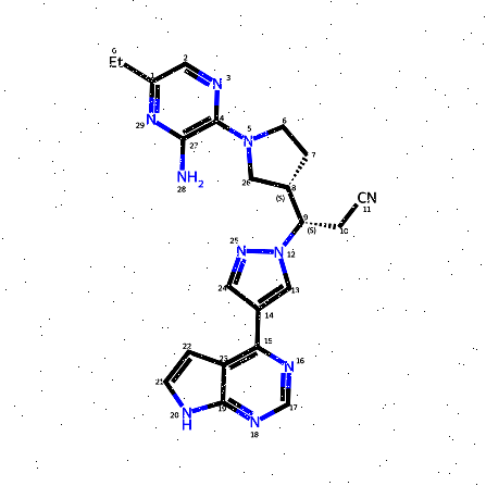 CCc1cnc(N2CC[C@H]([C@H](CC#N)n3cc(-c4ncnc5[nH]ccc45)cn3)C2)c(N)n1